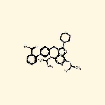 CC(C)Sc1nnc(SC(C)C)c2c1nc(C1CCCCC1)n2Cc1ccc(-c2ccccc2C(=O)O)cc1